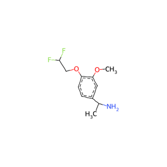 COc1cc(C(C)N)ccc1OCC(F)F